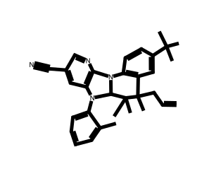 C=CCC1(C)c2cc(C(C)(C)C)ccc2N2c3ncc(C#N)cc3N(c3ccccc3C)C2C1(C)C